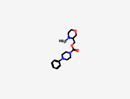 O=C(OCC1COCCN1C(=O)O)N1CCN(c2ccccc2)CC1